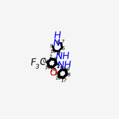 FC(F)(F)c1cc(NC2CCNCC2)c2c(c1)Oc1ccccc1N2